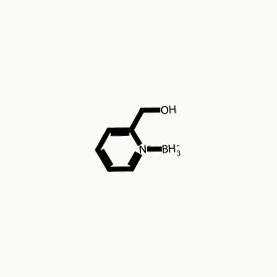 [BH3-][n+]1ccccc1CO